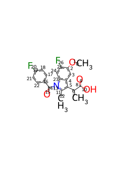 COc1cc2c(C(C)C(=O)O)c(C)n(C(=O)c3ccc(F)cc3)c2cc1F